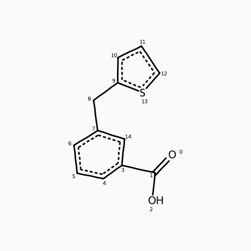 O=C(O)c1cccc(Cc2cccs2)c1